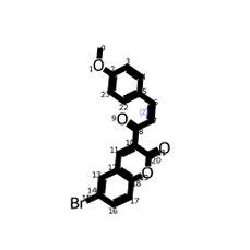 COc1ccc(/C=C\C(=O)c2cc3cc(Br)ccc3oc2=O)cc1